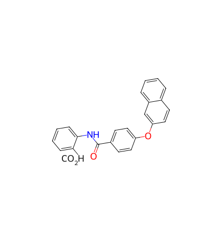 O=C(Nc1ccccc1C(=O)O)c1ccc(Oc2ccc3ccccc3c2)cc1